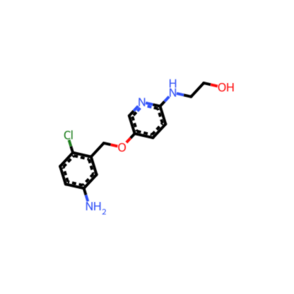 Nc1ccc(Cl)c(COc2ccc(NCCO)nc2)c1